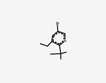 CCc1cc(Br)cnc1C(C)(C)C